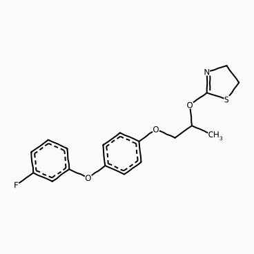 CC(COc1ccc(Oc2cccc(F)c2)cc1)OC1=NCCS1